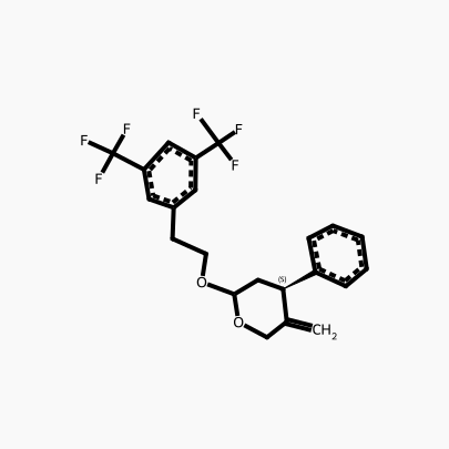 C=C1COC(OCCc2cc(C(F)(F)F)cc(C(F)(F)F)c2)C[C@H]1c1ccccc1